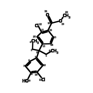 CCC(CC)(c1ccc(O)c(Cl)c1)c1ccc(C(=O)OC)c(Cl)c1